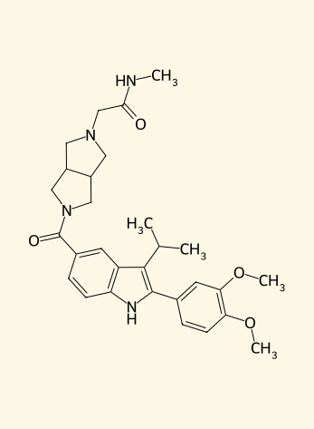 CNC(=O)CN1CC2CN(C(=O)c3ccc4[nH]c(-c5ccc(OC)c(OC)c5)c(C(C)C)c4c3)CC2C1